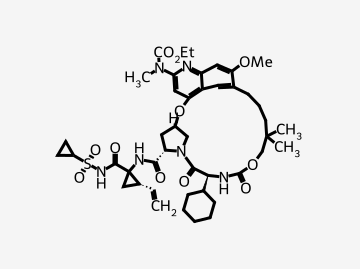 C=C[C@@H]1CC1(NC(=O)[C@@H]1C[C@@H]2CN1C(=O)[C@H](C1CCCCC1)NC(=O)OCC(C)(C)CCCc1cc3c(cc(N(C)C(=O)OCC)nc3cc1OC)O2)C(=O)NS(=O)(=O)C1CC1